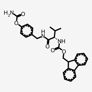 CC(C)[C@H](NC(=O)OCC1c2ccccc2-c2ccccc21)C(=O)NCc1ccc(OC(N)=O)cc1